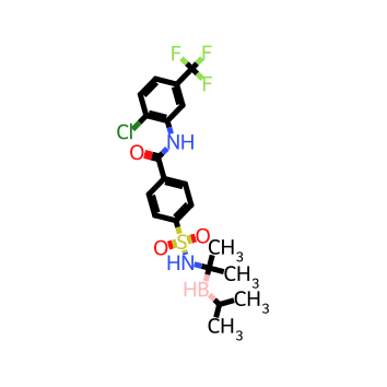 CC(C)BC(C)(C)NS(=O)(=O)c1ccc(C(=O)Nc2cc(C(F)(F)F)ccc2Cl)cc1